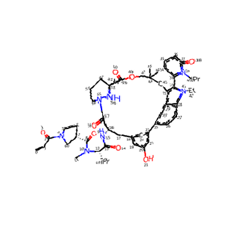 C=CC(=O)N1CC[C@H](C(=O)N(C)[C@H](C(=O)N[C@H]2Cc3cc(O)cc(c3)-c3ccc4c(c3)c(c(-c3cccc(=O)n3C(C)C)n4CC)CC(C)(C)COC(=O)[C@@H]3CCCN(N3)C2=O)C(C)C)C1